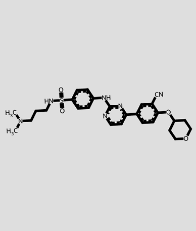 CN(C)CCCNS(=O)(=O)c1ccc(Nc2nccc(-c3ccc(OC4CCOCC4)c(C#N)c3)n2)cc1